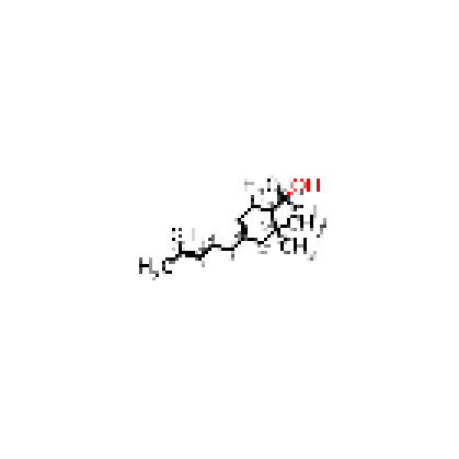 CC(C)=CCCC1=CCC(C(C)(C)O)C(C)(C)C1